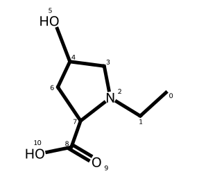 CCN1CC(O)CC1C(=O)O